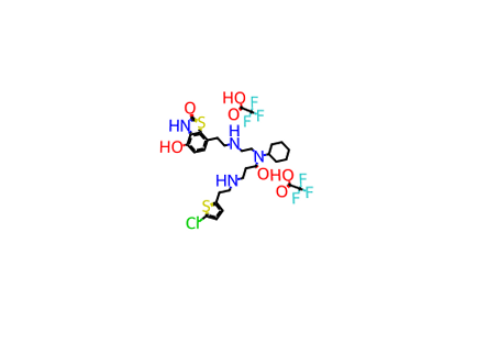 O=C(CCNCCc1ccc(Cl)s1)N(CCNCCc1ccc(O)c2[nH]c(=O)sc12)C1CCCCC1.O=C(O)C(F)(F)F.O=C(O)C(F)(F)F